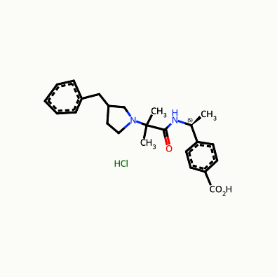 C[C@H](NC(=O)C(C)(C)N1CCC(Cc2ccccc2)C1)c1ccc(C(=O)O)cc1.Cl